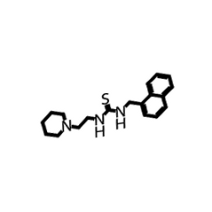 S=C(NCCN1CCCCC1)NCc1cccc2ccccc12